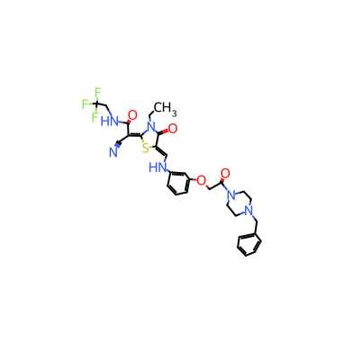 CCn1c(=C(C#N)C(=O)NCC(F)(F)F)sc(=CNc2cccc(OCC(=O)N3CCN(Cc4ccccc4)CC3)c2)c1=O